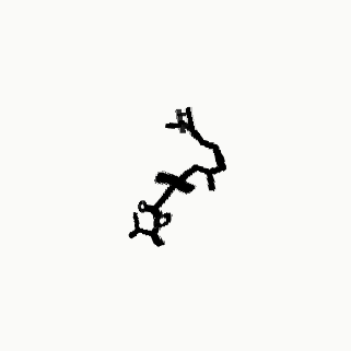 CNC/C=C\C(C)CC(C)(C)C(=O)OC(C)C(C)C